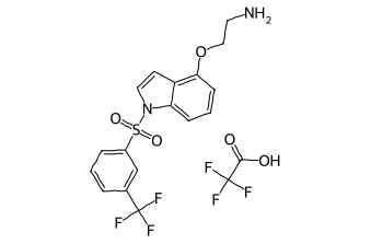 NCCOc1cccc2c1ccn2S(=O)(=O)c1cccc(C(F)(F)F)c1.O=C(O)C(F)(F)F